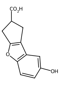 O=C(O)C1Cc2oc3ccc(O)cc3c2C1